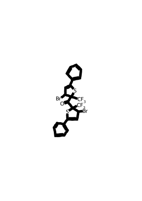 O=C(C1(C(F)(F)F)SC(c2ccccc2)=CC1Br)C1(C(F)(F)F)SC(c2ccccc2)=CC1Br